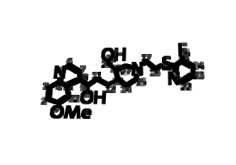 COc1ccc2nccc([C@H](O)CC[C@@H]3CCN(CCSc4ncccc4F)C[C@@H]3CO)c2c1